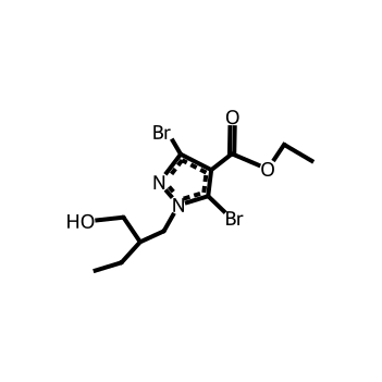 CCOC(=O)c1c(Br)nn(CC(CC)CO)c1Br